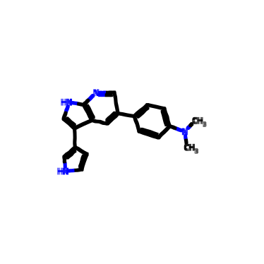 CN(C)c1ccc(-c2cnc3[nH]cc(-c4cc[nH]c4)c3c2)cc1